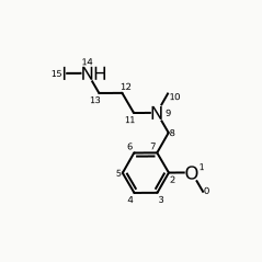 COc1ccccc1CN(C)CCCNI